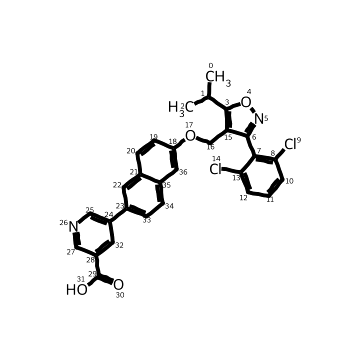 CC(C)c1onc(-c2c(Cl)cccc2Cl)c1COc1ccc2cc(-c3cncc(C(=O)O)c3)ccc2c1